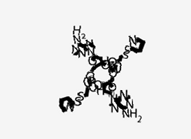 Nc1ncnc2c1ncn2[C@H]1C[C@H]2OP(=O)(OCCSSc3ccccn3)OCC3O[C@@H](n4cnc5c(N)ncnc54)C[C@H]3OP(=O)(OCCSSc3ccccn3)OCC2O1